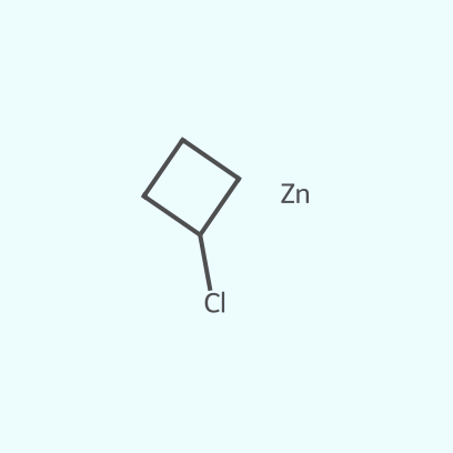 ClC1CCC1.[Zn]